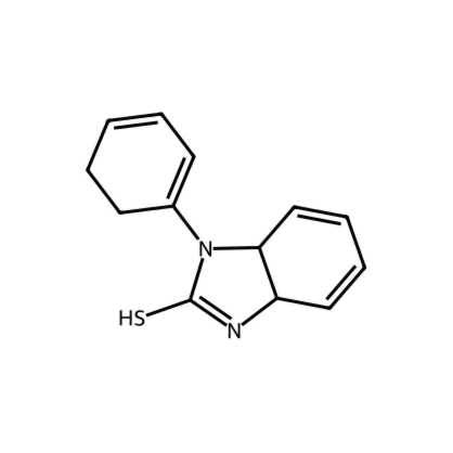 SC1=NC2C=CC=CC2N1C1=CC=CCC1